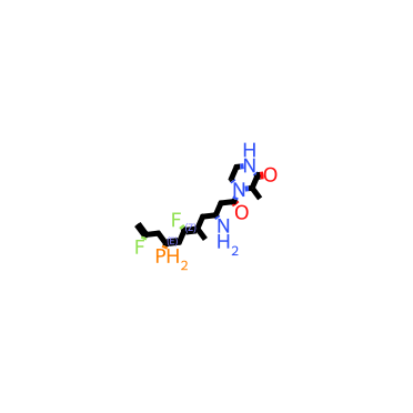 C=C(F)C/C(P)=C\C(F)=C(/C)CC(N)CC(=O)N1CCNC(=O)C1C